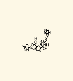 CO[C@]1(NC(=O)CSCn2ncnn2)C(=O)N2C(C(=O)O)=C(CSc3nnc(C)o3)CSC21